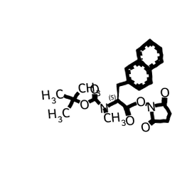 CN(C(=O)OC(C)(C)C)[C@@H](Cc1ccc2ccccc2c1)C(=O)ON1C(=O)CCC1=O